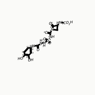 O=C(O)NC1CN(C(=O)NS(=O)(=O)NNC(=O)Nc2ccc(O)c(O)c2)C1=O